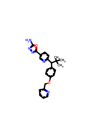 CC(C)(C)C(c1ccc(OCc2ccccn2)cc1)c1ccc(-c2nnc(N)o2)cn1